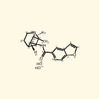 C[C@H]1[C@H](NC(=O)c2cc3ccoc3cn2)C2CCN1CC2.Cl.Cl